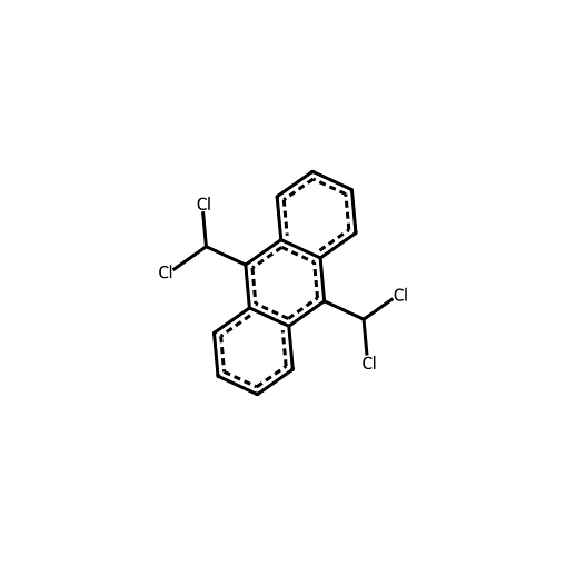 ClC(Cl)c1c2ccccc2c(C(Cl)Cl)c2ccccc12